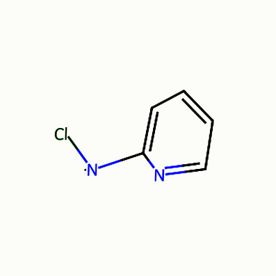 Cl[N]c1ccccn1